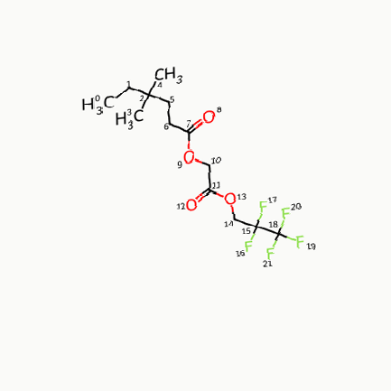 CCC(C)(C)CCC(=O)OCC(=O)OCC(F)(F)C(F)(F)F